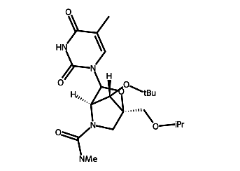 CNC(=O)N1C[C@]2(COC(C)C)OC(n3cc(C)c(=O)[nH]c3=O)[C@H]1[C@@H]2OC(C)(C)C